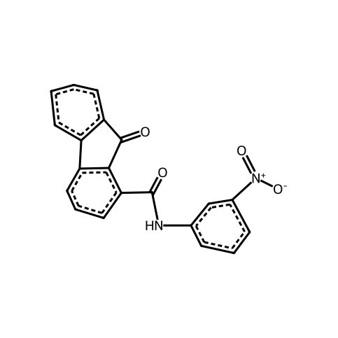 O=C(Nc1cccc([N+](=O)[O-])c1)c1cccc2c1C(=O)c1ccccc1-2